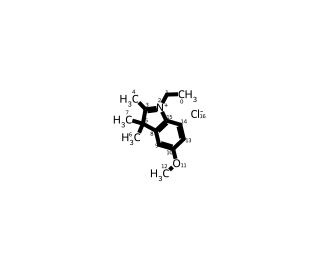 CC[N+]1=C(C)C(C)(C)c2cc(OC)ccc21.[Cl-]